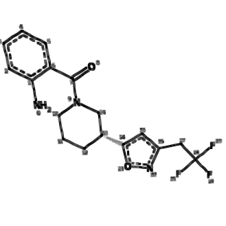 Nc1ccccc1C(=O)N1CCC[C@@H](c2cc(CC(F)(F)F)no2)C1